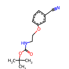 CC(C)(C)OC(=O)NCCOc1cccc(C#N)c1